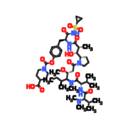 CC[C@H](C)[C@@H]([C@@H](CC(=O)N1CCC[C@H]1[C@H](O)[C@@H](C)C(=O)N[C@@H](Cc1ccc(OC(=O)N2CCC(C(=O)O)CC2)cc1)C(=O)NS(=O)(=O)C1CC1)OC)N(C)C(=O)[C@@H](NC(=O)C(C(C)C)N(C)C)C(C)C